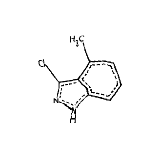 Cc1cccc2[nH]nc(Cl)c12